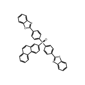 O=P(c1ccc(-c2nc3ccccc3o2)cc1)(c1ccc(-c2nc3ccccc3s2)cc1)c1ccc2c(ccc3ccccc32)c1